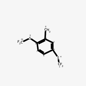 Cc1cc(SC(F)(F)F)ccc1SC(F)(F)F